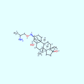 CC(N)CO/N=C1/CC[C@]2(C)[C@H]3CC[C@]4(C)C(=O)CC[C@H]4[C@@H]3[C@H](C)C[C@@]2(O)C1